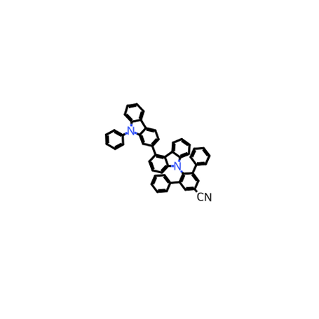 N#Cc1cc(-c2ccccc2)c(-n2c3ccccc3c3c(-c4ccc5c6ccccc6n(-c6ccccc6)c5c4)cccc32)c(-c2ccccc2)c1